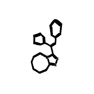 C(=C(c1ccccc1)c1nnc2n1CCCCCC2)c1ccccc1